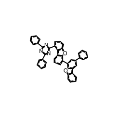 c1ccc(-c2cc(-c3cccc4c3oc3cccc(-c5nc(-c6ccccc6)nc(-c6ccccc6)n5)c34)c3oc4ccccc4c3c2)cc1